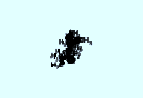 C=C/C=C(C)\C=C\N(C(=C)/C(C)=C\C(=C)C(=C)/C=C(/C)C(=C)C(c1cccc(C)c1)C1C=CC(C)=CC1)C1C=CC=CC1